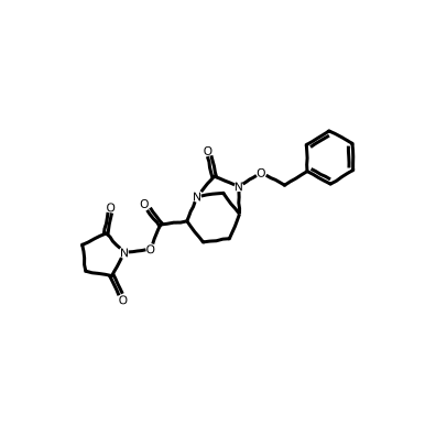 O=C(ON1C(=O)CCC1=O)C1CCC2CN1C(=O)N2OCc1ccccc1